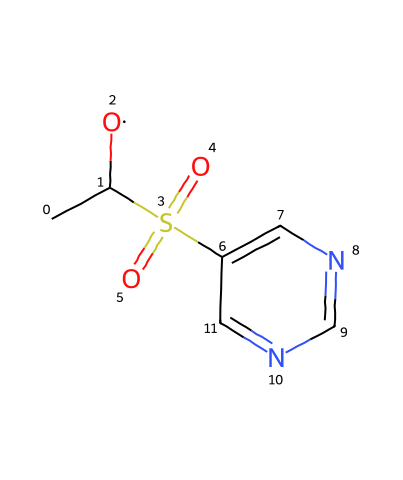 CC([O])S(=O)(=O)c1cncnc1